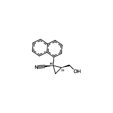 N#C[C@]1(c2cccc3ccccc23)C[C@@H]1CO